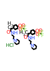 C[C@@H](C(=O)NCCCN1CCCCC1)c1ccc(OS(=O)(=O)C(F)(F)F)cc1.C[C@@H](C(=O)NCCCN1CCCCC1)c1ccc(OS(=O)(=O)C(F)(F)F)cc1.Cl